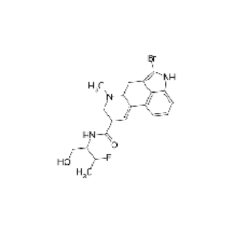 CC(F)C(CO)NC(=O)C1C=C2c3cccc4[nH]c(Br)c(c34)CC2N(C)C1